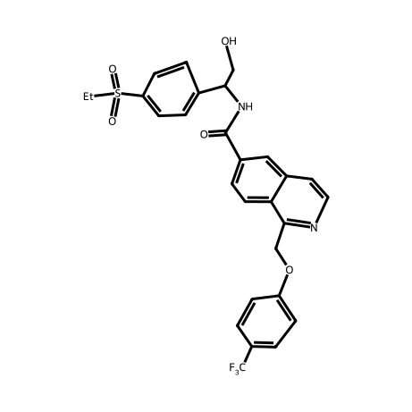 CCS(=O)(=O)c1ccc(C(CO)NC(=O)c2ccc3c(COc4ccc(C(F)(F)F)cc4)nccc3c2)cc1